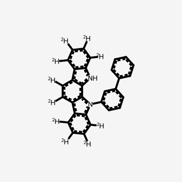 [2H]c1c([2H])c([2H])c2c([nH]c3c2c([2H])c([2H])c2c4c([2H])c([2H])c([2H])c([2H])c4n(-c4cccc(-c5ccccc5)c4)c32)c1[2H]